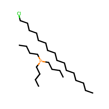 CCCCCCCCCCCCCCCCCl.CCCCP(CCCC)CCCC